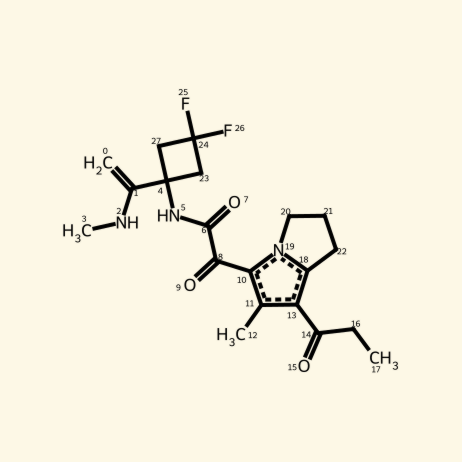 C=C(NC)C1(NC(=O)C(=O)c2c(C)c(C(=O)CC)c3n2CCC3)CC(F)(F)C1